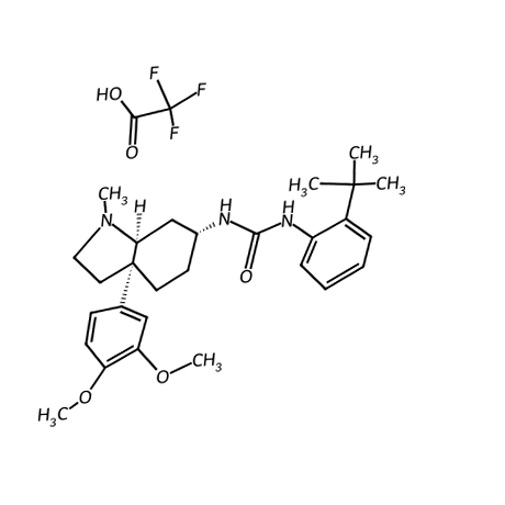 COc1ccc([C@@]23CC[C@@H](NC(=O)Nc4ccccc4C(C)(C)C)C[C@@H]2N(C)CC3)cc1OC.O=C(O)C(F)(F)F